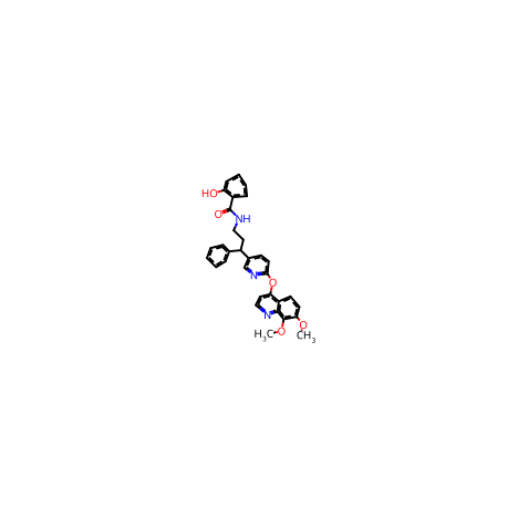 COc1ccc2c(Oc3ccc(C(CCNC(=O)c4ccccc4O)c4ccccc4)cn3)ccnc2c1OC